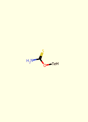 NC(=S)O[TeH]